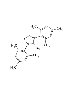 Cc1cc(C)c(N2CCN(c3c(C)cc(C)cc3C)[CH]2[Ru+])c(C)c1